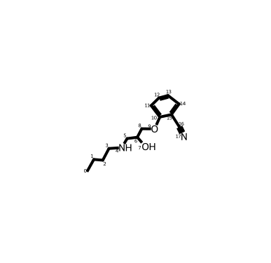 CCCCNCC(O)COc1ccccc1C#N